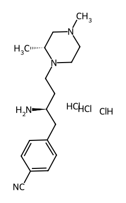 C[C@@H]1CN(C)CCN1CC[C@H](N)Cc1ccc(C#N)cc1.Cl.Cl.Cl